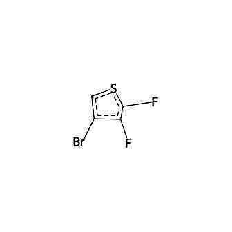 Fc1scc(Br)c1F